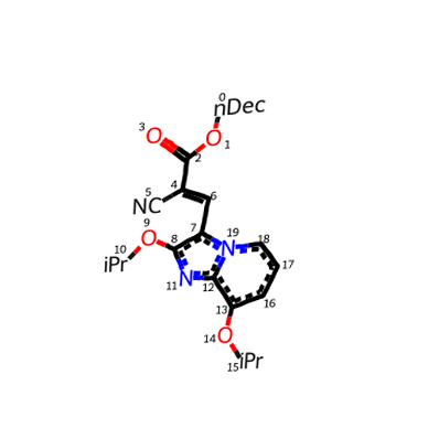 CCCCCCCCCCOC(=O)/C(C#N)=C/c1c(OC(C)C)nc2c(OC(C)C)cccn12